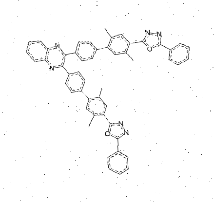 Cc1cc(-c2nnc(-c3ccccc3)o2)c(C)cc1-c1ccc(-c2nc3ccccc3nc2-c2ccc(-c3cc(C)c(-c4nnc(-c5ccccc5)o4)cc3C)cc2)cc1